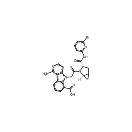 Nc1ncnc2c1c1cccc(C(=O)O)c1n2CC(=O)N1[C@@H]2CC2C[C@H]1C(=O)Nc1cccc(Br)n1